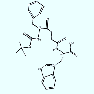 C=C(CCC(=O)N[C@@H](Cc1c[nH]c2ccccc12)C(=O)O)[C@H](Cc1ccccc1)NC(=O)OC(C)(C)C